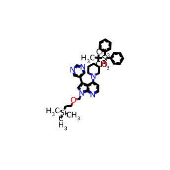 CC(C)(C)[Si](O[C@H]1CCCN(c2ccnc3c2c(-c2cncnc2)cn3COCC[Si](C)(C)C)C1)(c1ccccc1)c1ccccc1